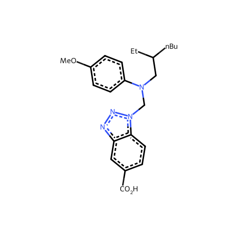 CCCCC(CC)CN(Cn1nnc2cc(C(=O)O)ccc21)c1ccc(OC)cc1